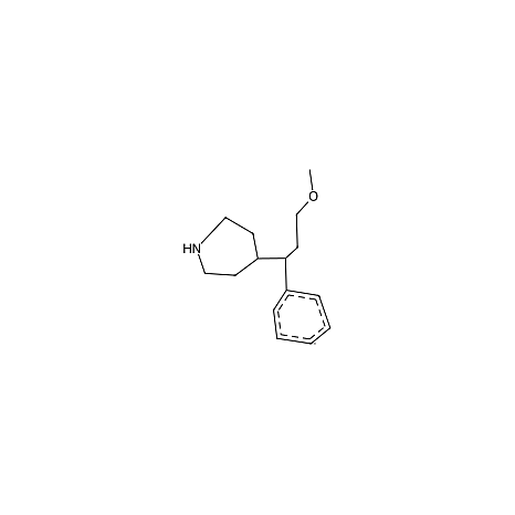 COCCC(c1cc[c]cc1)C1CCNCC1